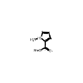 COC(=O)C1=CC=C[SH]1N